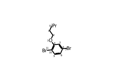 CC(C)CCOc1cc(Br)ccc1Br